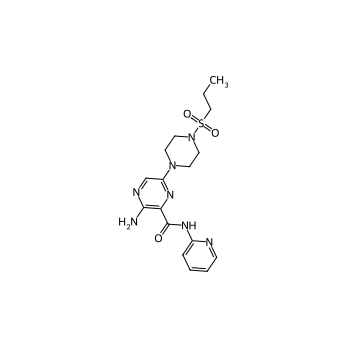 CCCS(=O)(=O)N1CCN(c2cnc(N)c(C(=O)Nc3ccccn3)n2)CC1